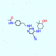 CC(=O)Nc1ccc(CCNc2ncc(C#N)c(N[C@@H]3CC[C@H](O)C(C)(C)C3)n2)cc1